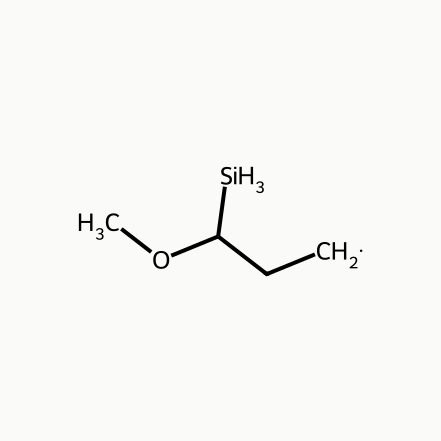 [CH2]CC([SiH3])OC